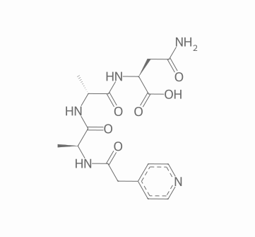 C[C@H](NC(=O)Cc1ccncc1)C(=O)N[C@H](C)C(=O)N[C@@H](CC(N)=O)C(=O)O